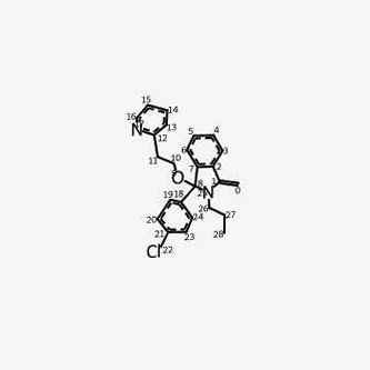 C=C1c2ccccc2C(OCCc2ccccn2)(c2ccc(Cl)cc2)N1CCC